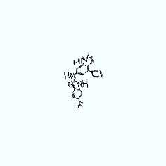 Fc1ccc2nc(Nc3cc(Cl)c4cc[nH]c4c3)[nH]c2c1